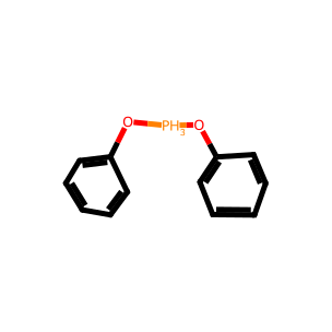 c1ccc(O[PH3]Oc2ccccc2)cc1